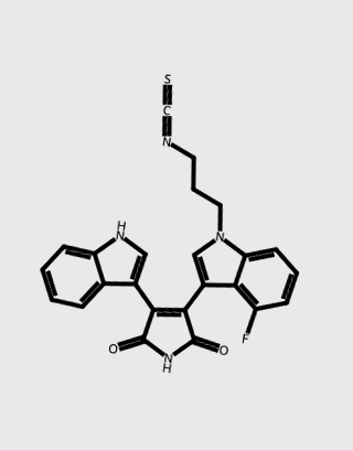 O=C1NC(=O)C(c2cn(CCCN=C=S)c3cccc(F)c23)=C1c1c[nH]c2ccccc12